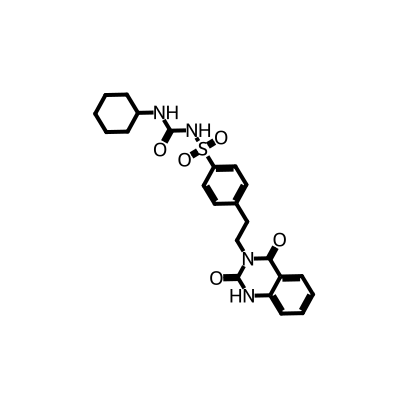 O=C(NC1CCCCC1)NS(=O)(=O)c1ccc(CCn2c(=O)[nH]c3ccccc3c2=O)cc1